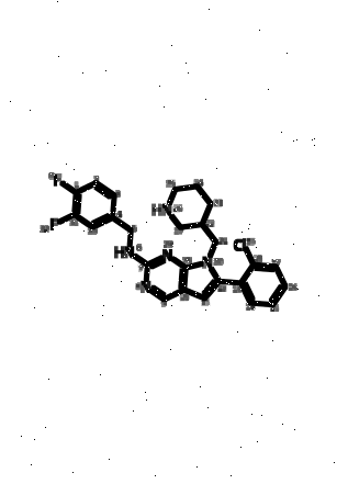 Fc1ccc(CNc2ncc3cc(-c4ccccc4Cl)n(CC4CCCNC4)c3n2)cc1F